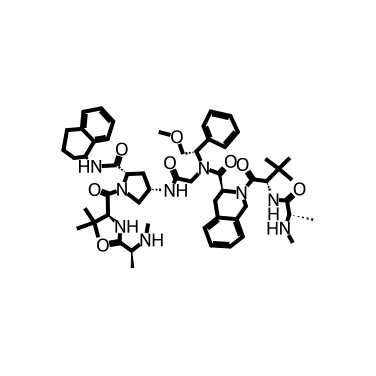 CN[C@@H](C)C(=O)N[C@H](C(=O)N1C[C@@H](NC(=O)CN(C(=O)[C@@H]2Cc3ccccc3CN2C(=O)[C@@H](NC(=O)[C@H](C)NC)C(C)(C)C)[C@H](COC)c2ccccc2)C[C@H]1C(=O)N[C@@H]1CCCc2ccccc21)C(C)(C)C